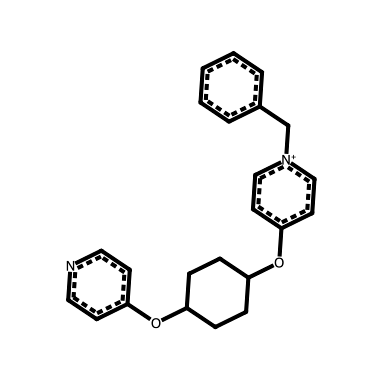 c1ccc(C[n+]2ccc(OC3CCC(Oc4ccncc4)CC3)cc2)cc1